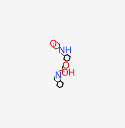 OC(COc1cccc(CNC2CCOCC2)c1)CN1CCc2ccccc2C1